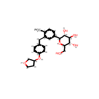 Cc1ccc(C2OC(CO)[C@@H](O)C(O)[C@H]2O)cc1Cc1ccc(OC2CCOC2)cc1